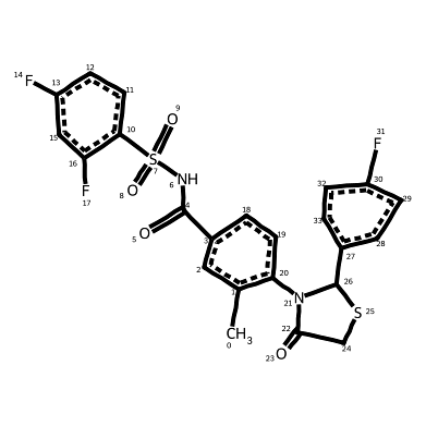 Cc1cc(C(=O)NS(=O)(=O)c2ccc(F)cc2F)ccc1N1C(=O)CSC1c1ccc(F)cc1